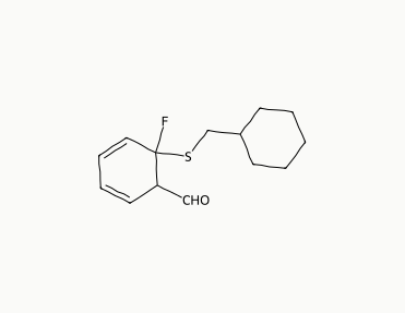 O=CC1C=CC=CC1(F)SCC1CCCCC1